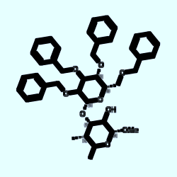 CO[C@@H]1OC(C)[C@H](C)[C@H](O[C@H]2O[C@@H](COCc3ccccc3)[C@@H](OCc3ccccc3)C(OCc3ccccc3)C2OCc2ccccc2)C1O